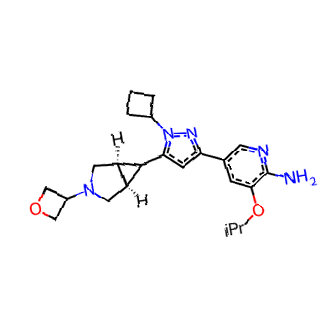 CC(C)Oc1cc(-c2cc(C3[C@H]4CN(C5COC5)C[C@@H]34)n(C3CCC3)n2)cnc1N